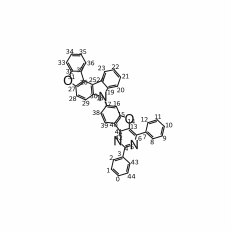 c1ccc(-c2nc(-c3ccccc3)c3oc4cc(-n5c6ccccc6c6c7c(ccc65)oc5ccccc57)ccc4c3n2)cc1